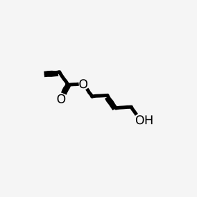 C=CC(=O)OC/C=C/CO